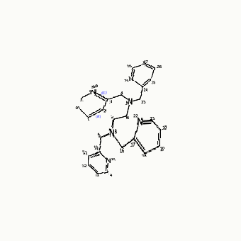 C/C=C\C(CN(CCN(Cc1ccccn1)Cc1ccccn1)Cc1ccccn1)=N/C